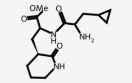 COC(=O)C(C[C@@H]1CCCNC1=O)NC(=O)C(N)CC1CC1